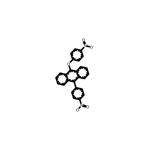 O=[N+]([O-])c1ccc(Oc2c3ccccc3c(-c3ccc([N+](=O)[O-])cc3)c3ccccc23)cc1